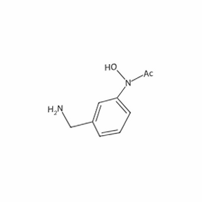 CC(=O)N(O)c1cccc(CN)c1